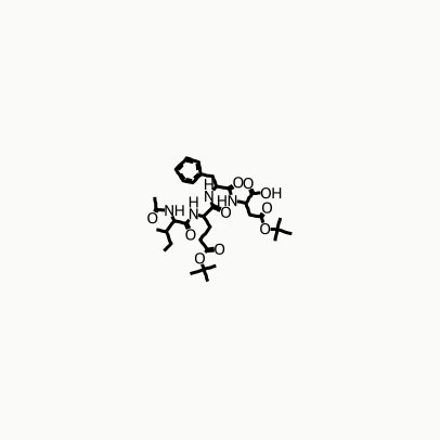 CCC(C)C(NC(C)=O)C(=O)NC(CCC(=O)OC(C)(C)C)C(=O)NC(Cc1ccccc1)C(=O)NC(CC(=O)OC(C)(C)C)C(=O)O